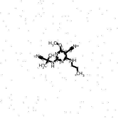 CCCNc1nc(NC(C)(C)C#N)nc(OC)c1C#N